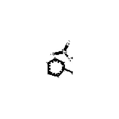 Cc1ccccc1.O=[SH](=O)O